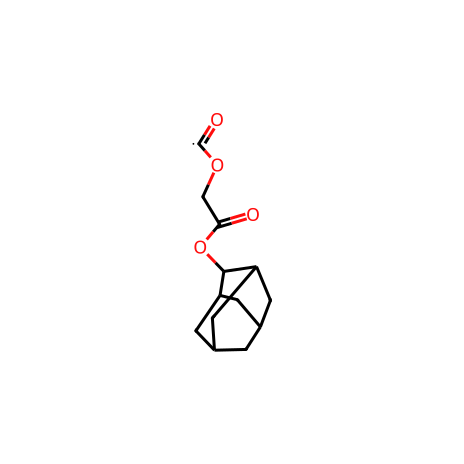 O=[C]OCC(=O)OC1C2CC3CC(C2)CC1C3